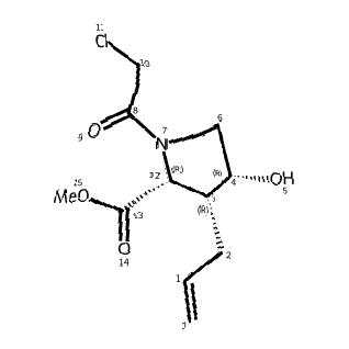 C=CC[C@H]1[C@@H](O)CN(C(=O)CCl)[C@H]1C(=O)OC